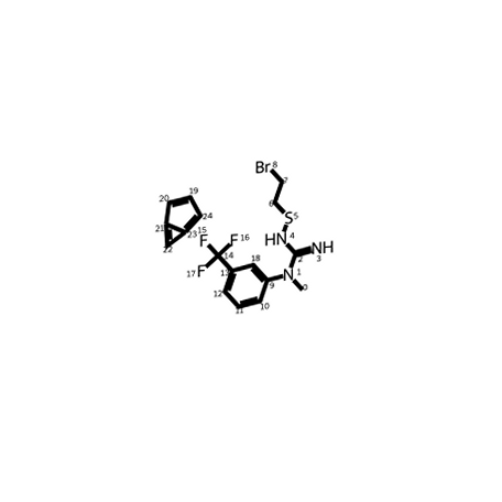 CN(C(=N)NSCCBr)c1cccc(C(F)(F)F)c1.c1cc2cc-2c1